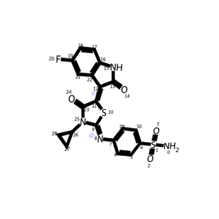 NS(=O)(=O)c1ccc(/N=C2\S/C(=C3\C(=O)Nc4ccc(F)cc43)C(=O)N2C2CC2)cc1